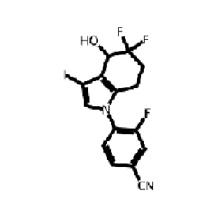 N#Cc1ccc(-n2cc(I)c3c2CCC(F)(F)C3O)c(F)c1